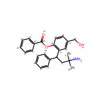 CC(C)C(N)(CC(c1ccccc1)c1cc(CO)ccc1OC(=O)c1ccccc1)C(C)C